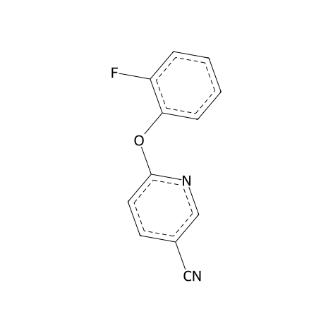 N#Cc1ccc(Oc2ccccc2F)nc1